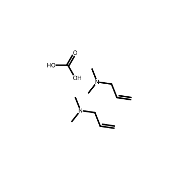 C=CCN(C)C.C=CCN(C)C.O=C(O)O